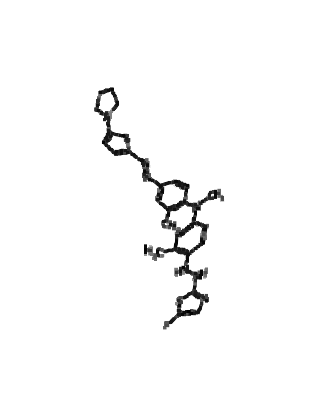 Cc1cc(N(C)c2ccc(/N=N/c3ccc(N4CCCC4)s3)cc2C)ccc1NNc1ncc(F)s1